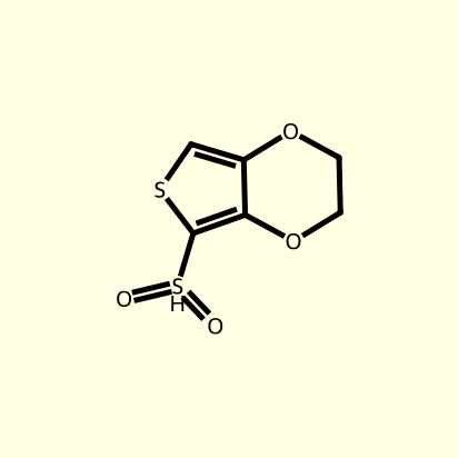 O=[SH](=O)c1scc2c1OCCO2